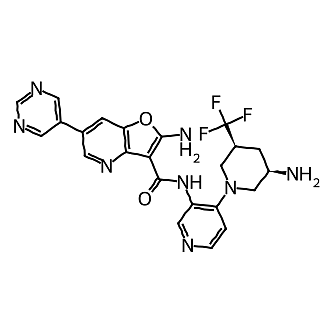 Nc1oc2cc(-c3cncnc3)cnc2c1C(=O)Nc1cnccc1N1C[C@H](N)C[C@H](C(F)(F)F)C1